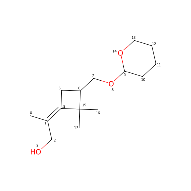 CC(CO)=C1CC(COC2CCCCO2)C1(C)C